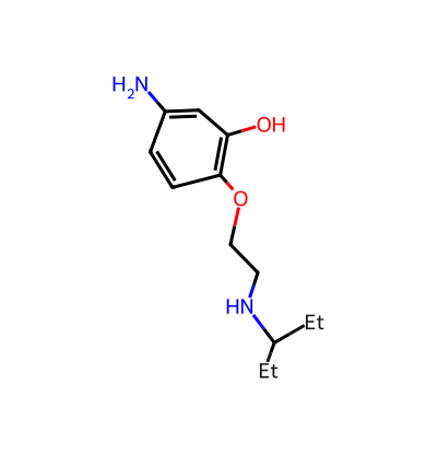 CCC(CC)NCCOc1ccc(N)cc1O